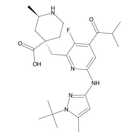 Cc1cc(Nc2cc(C(=O)C(C)C)c(F)c(C[C@@]3(C(=O)O)CCN[C@H](C)C3)n2)nn1C(C)(C)C